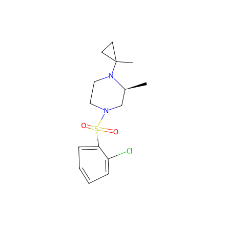 C[C@H]1CN(S(=O)(=O)c2ccccc2Cl)CCN1C1(C)CC1